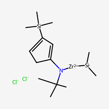 C[Si](C)[Zr+2][N](C1=CC([Si](C)(C)C)=CC1)C(C)(C)C.[Cl-].[Cl-]